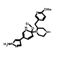 CCOC1(N2CCNCC2Cc2ccc(OC)nc2)C=CC(c2cnn(N)c2)=CN1